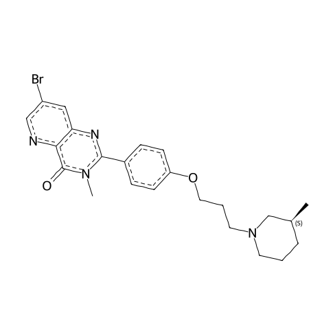 C[C@H]1CCCN(CCCOc2ccc(-c3nc4cc(Br)cnc4c(=O)n3C)cc2)C1